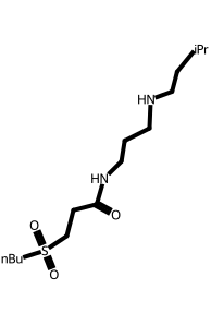 CCCCS(=O)(=O)CCC(=O)NCCCNCCC(C)C